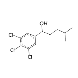 CC(C)CCC(O)c1cc(Cl)c(Cl)c(Cl)c1